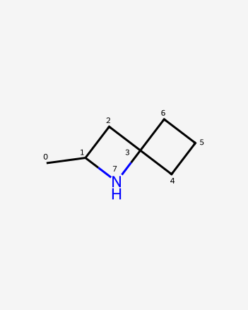 CC1CC2(CCC2)N1